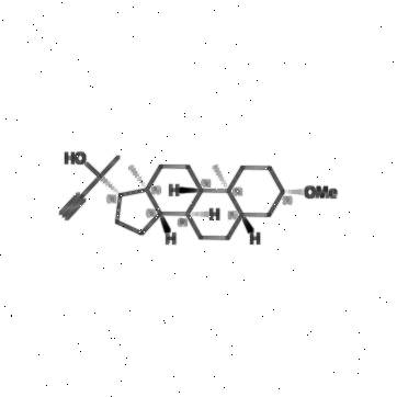 C#CC(C)(O)[C@H]1CC[C@H]2[C@@H]3CC[C@H]4C[C@@H](OC)CC[C@]4(C)[C@H]3CC[C@]12C